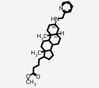 COC(=O)CCCC1CCC2C3CC[C@H]4C[C@H](NCc5ccccn5)CCC4(C)C3CCC12C